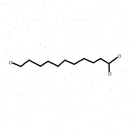 ClCCCCCCCCCCC(Cl)Cl